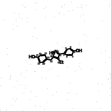 CCc1c(-c2ccc(O)cc2)n[nH]c1Cc1ccc(O)cc1